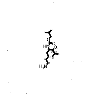 CC(C)COC(=O)NC(CCCCN)C(=O)C(C)C